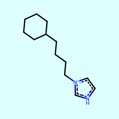 c1c[n+](CCCCC2CCCCC2)c[nH]1